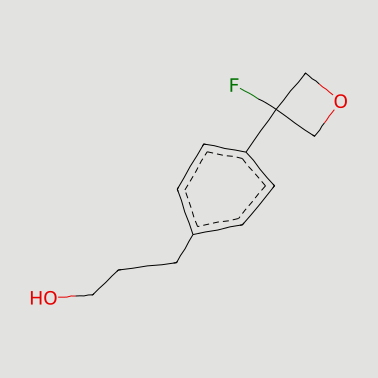 OCCCc1ccc(C2(F)COC2)cc1